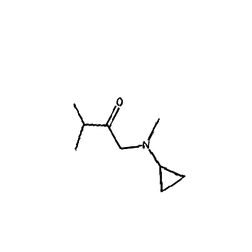 CC(C)C(=O)CN(C)C1CC1